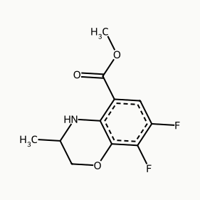 COC(=O)c1cc(F)c(F)c2c1NC(C)CO2